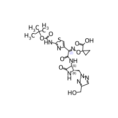 CC(C)(C)OC(=O)Nc1nc(/C(=N/OC2(C(=O)O)CC2)C(=O)N[C@@H]2C(=O)N[C@@H]2Cn2ncc(CO)n2)cs1